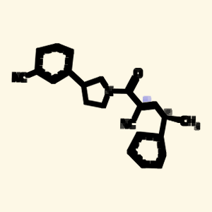 C[C@H](/C=C(\C#N)C(=O)N1CCC(c2cccc(C#N)c2)C1)c1ccccc1